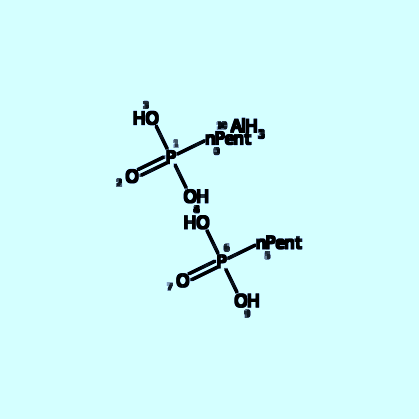 CCCCCP(=O)(O)O.CCCCCP(=O)(O)O.[AlH3]